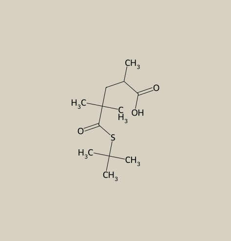 CC(CC(C)(C)C(=O)SC(C)(C)C)C(=O)O